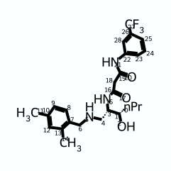 CCC[C@H](O)[C@H](CNCc1ccc(C)cc1C)NC(=O)CC(=O)Nc1cccc(C(F)(F)F)c1